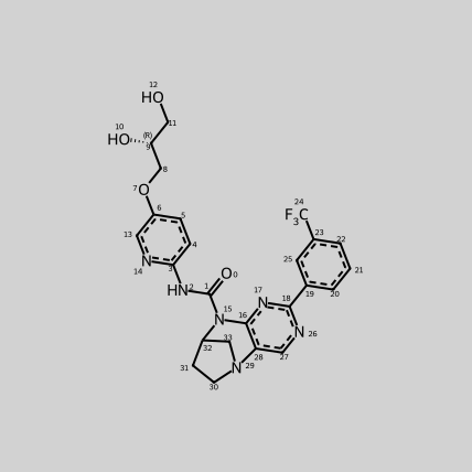 O=C(Nc1ccc(OC[C@H](O)CO)cn1)N1c2nc(-c3cccc(C(F)(F)F)c3)ncc2N2CCC1C2